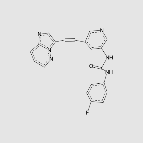 O=C(Nc1ccc(F)cc1)Nc1cncc(C#Cc2cnc3cccnn23)c1